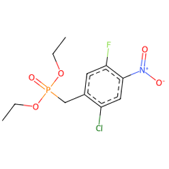 CCOP(=O)(Cc1cc(F)c([N+](=O)[O-])cc1Cl)OCC